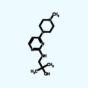 CN1CCN(c2ccnc(NCC(C)(C)O)n2)CC1